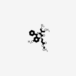 CCOC(=O)CCN1C(=O)[C@H](C(CC)CC)N=C(c2ccccc2)c2cc(C)ccc21